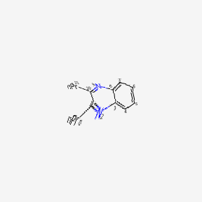 CCCc1nc2ccccc2nc1CCC